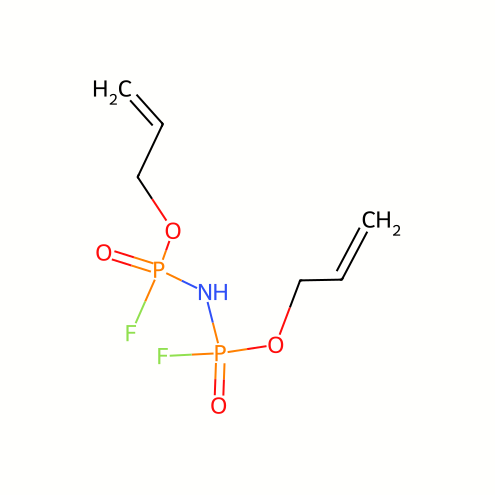 C=CCOP(=O)(F)NP(=O)(F)OCC=C